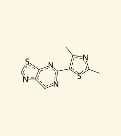 Cc1nc(C)c(-c2ncc3ncsc3n2)s1